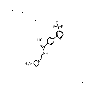 Cl.N[C@H]1CCN(CCN[C@@H]2C[C@H]2c2ccc(-c3cccc(C(F)(F)F)c3)cc2)C1